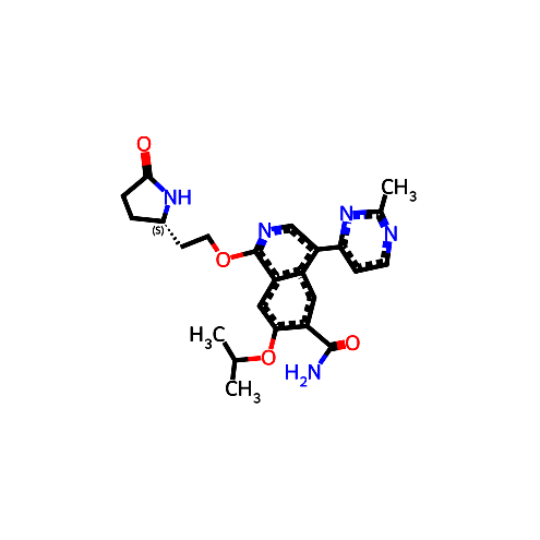 Cc1nccc(-c2cnc(OCC[C@@H]3CCC(=O)N3)c3cc(OC(C)C)c(C(N)=O)cc23)n1